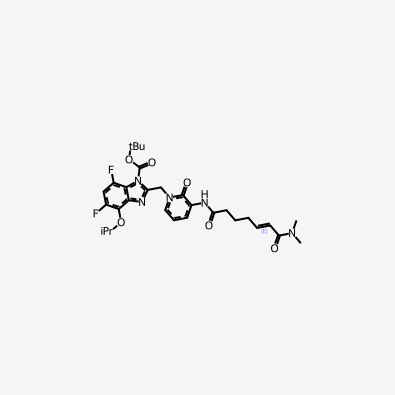 CC(C)Oc1c(F)cc(F)c2c1nc(Cn1cccc(NC(=O)CCC/C=C/C(=O)N(C)C)c1=O)n2C(=O)OC(C)(C)C